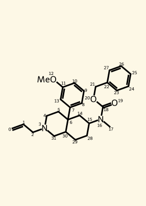 C=CCN1CCC2(c3cccc(OC)c3)CC(N(C)C(=O)OCc3ccccc3)CCC2C1